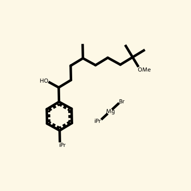 COC(C)(C)CCCC(C)CCC(O)c1ccc(C(C)C)cc1.C[CH](C)[Mg][Br]